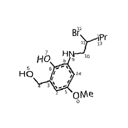 COc1cc(CO)c(O)c(NCC(Br)C(C)C)c1